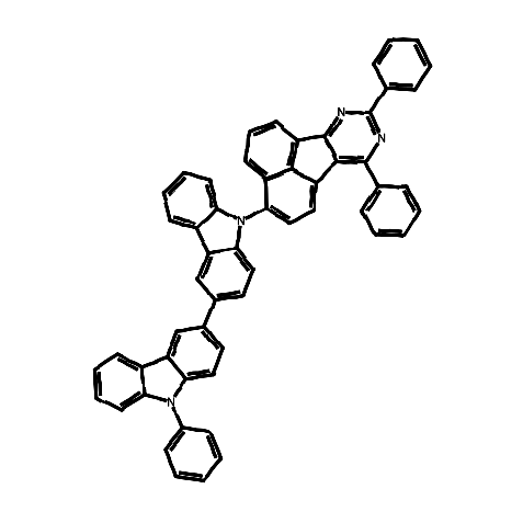 c1ccc(-c2nc(-c3ccccc3)c3c(n2)-c2cccc4c(-n5c6ccccc6c6cc(-c7ccc8c(c7)c7ccccc7n8-c7ccccc7)ccc65)ccc-3c24)cc1